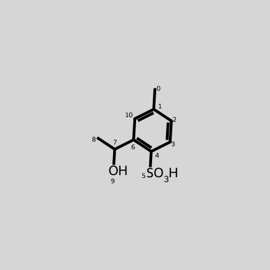 Cc1ccc(S(=O)(=O)O)c(C(C)O)c1